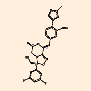 COc1cc(/C=C2\O[C@H](C)CN3C2=NO[C@]3(CO)c2cc(F)cc(F)c2)ccc1-n1cnc(C)c1